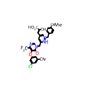 COc1ccc(CN2C=C(C=C(C)C(=O)O)C=C(Cn3cnc(C(F)(F)F)c(Oc4cc(Cl)cc(C#N)c4)c3=O)N2)cc1